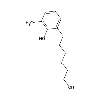 Cc1cccc(CCCSCCO)c1O